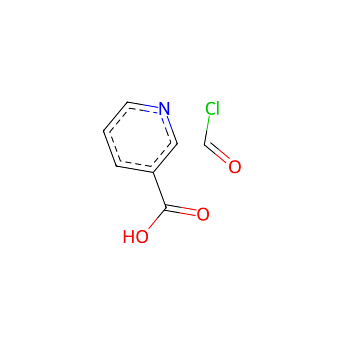 O=C(O)c1cccnc1.O=CCl